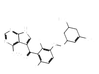 COc1ncnc2[nH]cc(C(=O)c3c(F)ccc(NSC4C=C(C)CC(C)C4)c3F)c12